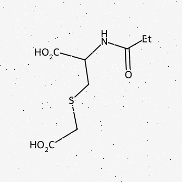 CCC(=O)NC(CSCC(=O)O)C(=O)O